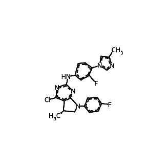 Cc1cn(-c2ccc(Nc3nc(Cl)c4c(n3)N(c3ccc(F)cc3)C[C@H]4C)cc2F)cn1